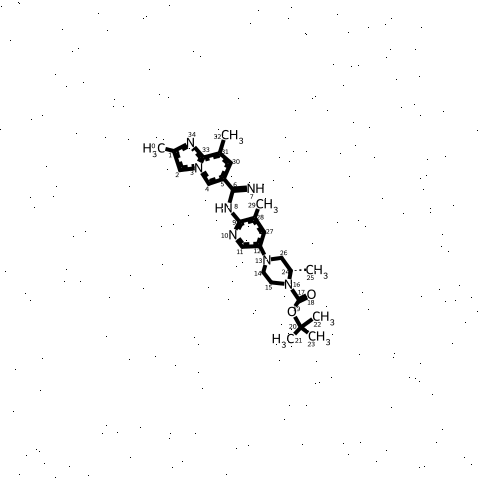 Cc1cn2cc(C(=N)Nc3ncc(N4CCN(C(=O)OC(C)(C)C)[C@@H](C)C4)cc3C)cc(C)c2n1